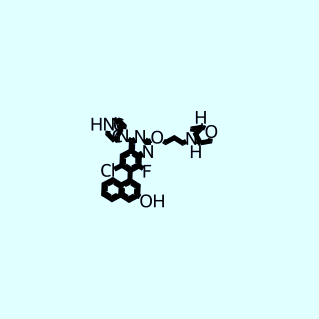 Oc1cc(-c2c(Cl)cc3c(N4CC5CCCC4CN5)nc(OCCCN4C[C@@H]5C[C@H]4CO5)nc3c2F)c2ccccc2c1